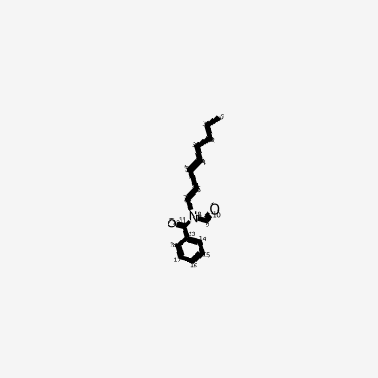 CCCCCCCCN(C=O)C(=O)c1ccccc1